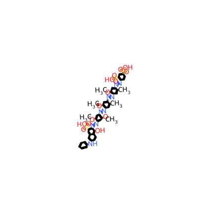 COc1cc(N=Nc2ccc(S(=O)(=O)O)cc2S(=O)(=O)O)c(C)cc1N=Nc1cc(OC)c(N=Nc2cc(OC)c(N=Nc3c(S(=O)(=O)O)cc4cc(Nc5ccccc5)ccc4c3O)cc2OC)cc1C